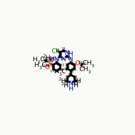 [2H]C1([2H])CC(c2cc(OC(C)C)c(Nc3ncc(Cl)c(Nc4ccccc4S(=O)(=O)C([2H])(C)C)n3)cc2C)CC([2H])([2H])N1